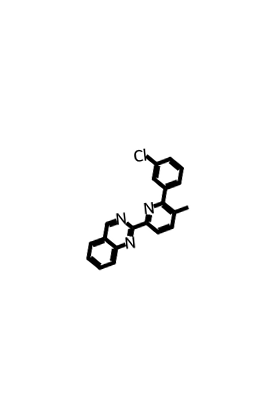 Cc1ccc(-c2ncc3ccccc3n2)nc1-c1cccc(Cl)c1